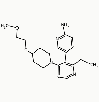 CCc1ncnc(N2CCC(OCCOC)CC2)c1-c1ccc(N)nc1